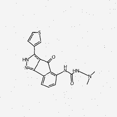 CN(C)NC(=O)Nc1cccc2c1C(=O)c1c-2n[nH]c1-c1ccsc1